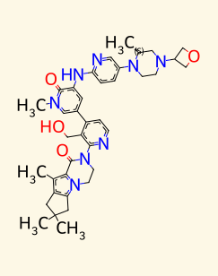 Cc1c2c(n3c1C(=O)N(c1nccc(-c4cc(Nc5ccc(N6CCN(C7COC7)C[C@@H]6C)cn5)c(=O)n(C)c4)c1CO)CC3)CC(C)(C)C2